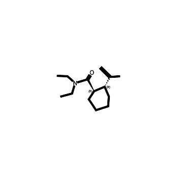 C=C(C)[C@@H]1CCCC[C@H]1C(=O)N(CC)CC